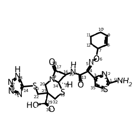 Nc1nc(C(=NOC2C=CCCC2)C(=O)NC2C(=O)N3CC(CSc4nnn[nH]4)(C(=O)O)CS[C@H]23)cs1